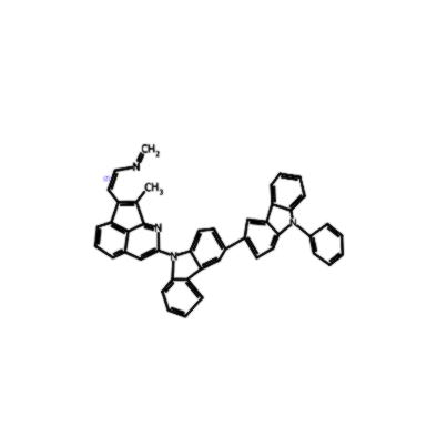 C=N/C=C\C1=C(C)c2nc(-n3c4ccccc4c4cc(-c5ccc6c(c5)c5ccccc5n6-c5ccccc5)ccc43)cc3cccc1c23